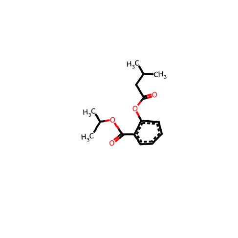 CC(C)CC(=O)Oc1ccccc1C(=O)OC(C)C